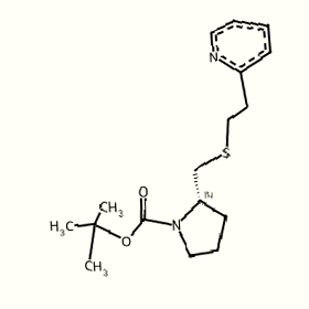 CC(C)(C)OC(=O)N1CCC[C@H]1CSCCc1ccccn1